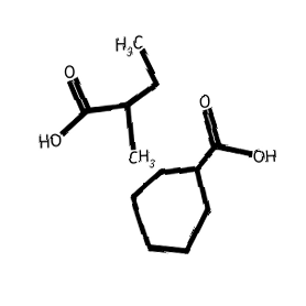 CCC(C)C(=O)O.O=C(O)C1CCCCC1